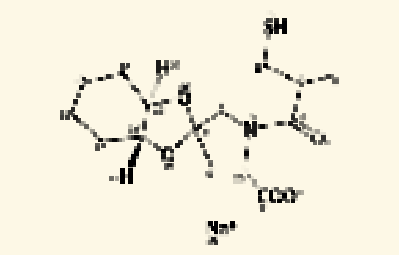 CC(CS)C(=O)N1CC2(C[C@H]1C(=O)[O-])O[C@@H]1CCCC[C@H]1O2.[Na+]